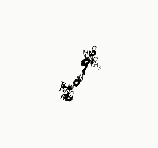 Cn1c(=O)n(C2CCC(=O)NC2=O)c2cccc(CCCN3CC4(CCC(n5cc(NC(=O)c6cnn7cccnc67)c(C(F)F)n5)CC4)C3)c21